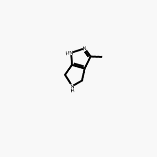 Cc1n[nH]c2c1CNC2